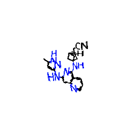 Cc1cc(Nc2cc3ncccc3c(NC34CC(C3)[C@@H](CC#N)C4)n2)n[nH]1